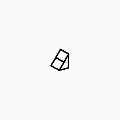 C1C2CC3CC1[C]23